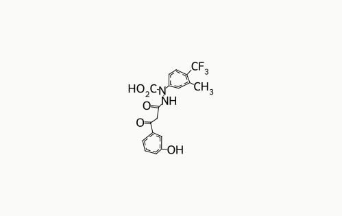 Cc1cc(N(NC(=O)CC(=O)c2cccc(O)c2)C(=O)O)ccc1C(F)(F)F